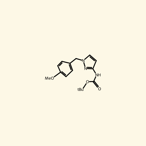 COc1ccc(Cn2ccc(NC(=O)OC(C)(C)C)n2)cc1